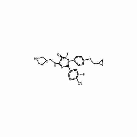 Cn1c(-c2ccc(OCC3CC3)cc2)c(-c2ccc(C#N)c(F)c2)nc(NC[C@H]2CCNC2)c1=O